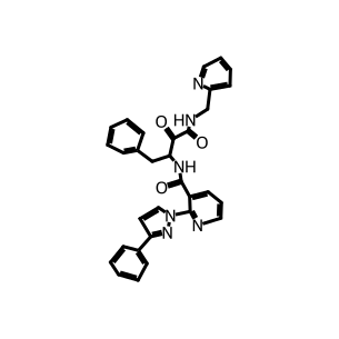 O=C(NCc1ccccn1)C(=O)C(Cc1ccccc1)NC(=O)c1cccnc1-n1ccc(-c2ccccc2)n1